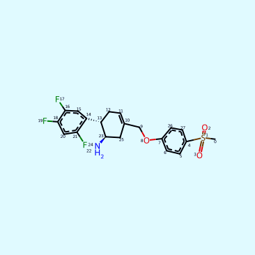 CS(=O)(=O)c1ccc(OCC2=CC[C@@H](c3cc(F)c(F)cc3F)[C@H](N)C2)cc1